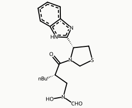 CCCC[C@@H](CN(O)C=O)C(=O)N1CSC[C@H]1c1nc2ccccc2[nH]1